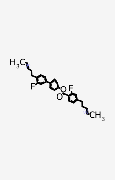 C/C=C/CCc1ccc(C(=O)Oc2ccc(-c3ccc(CC/C=C/C)c(F)c3)cc2)c(F)c1